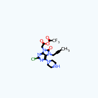 CC#CCn1c(=O)n(CC(=O)OC(=O)C(F)(F)F)c2nc(Cl)nc(N3CCNCC3)c21